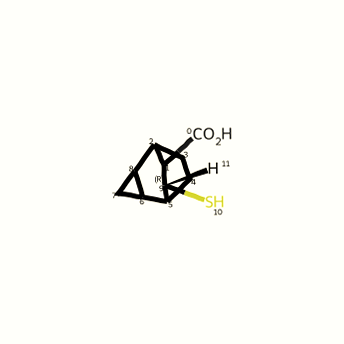 O=C(O)C1C2CCC(C3CC32)[C@H]1S